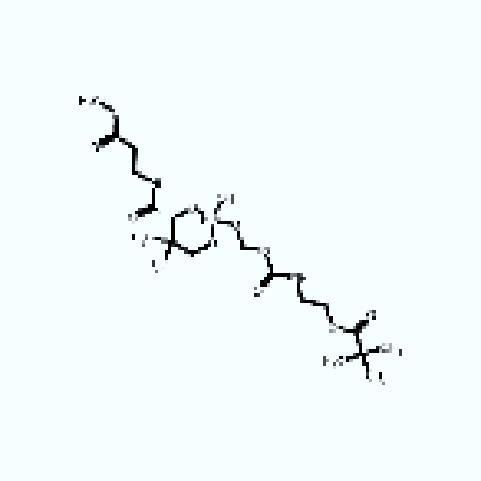 COC(=O)CCNC(=O)[C@@H]1O[PH](O)(OCOC(=O)NCCOC(=O)C(C)(C)C)OCC1(C)C